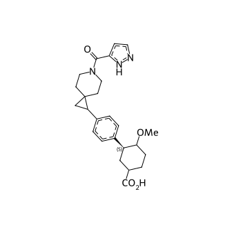 COC1CCC(C(=O)O)C[C@H]1c1ccc(C2CC23CCN(C(=O)c2ccn[nH]2)CC3)cc1